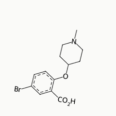 CN1CCC(Oc2ccc(Br)cc2C(=O)O)CC1